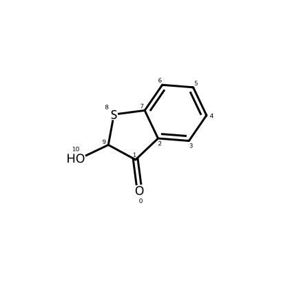 O=C1c2ccccc2SC1O